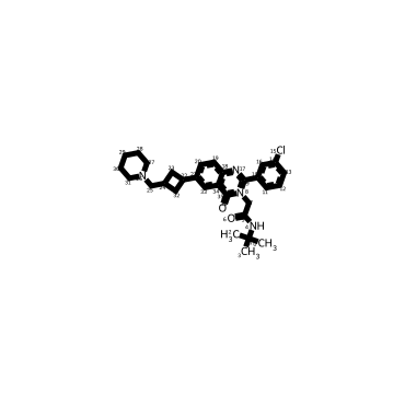 CC(C)(C)NC(=O)Cn1c(-c2cccc(Cl)c2)nc2ccc(C3CC(CN4CCCCC4)C3)cc2c1=O